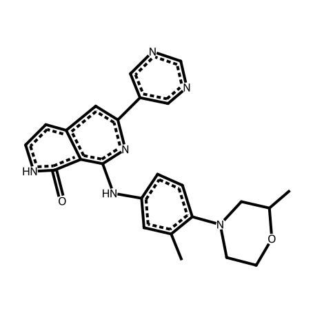 Cc1cc(Nc2nc(-c3cncnc3)cc3cc[nH]c(=O)c23)ccc1N1CCOC(C)C1